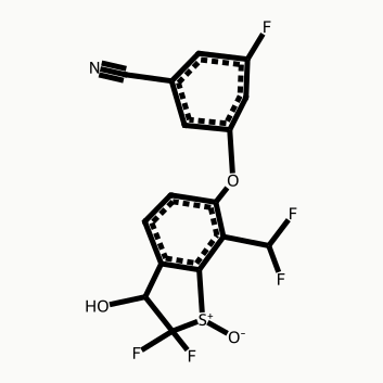 N#Cc1cc(F)cc(Oc2ccc3c(c2C(F)F)[S+]([O-])C(F)(F)C3O)c1